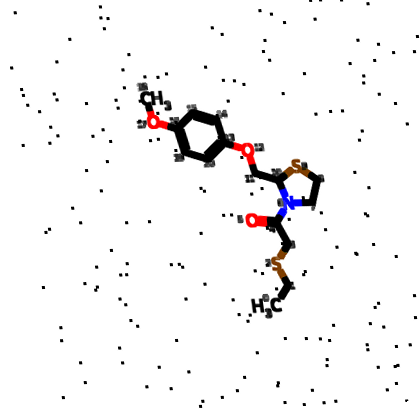 CCSCC(=O)N1CCSC1COc1ccc(OC)cc1